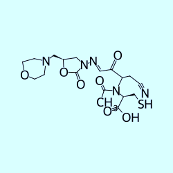 CC(=O)N(C(CC#N)C(=O)C=NN1C[C@H](CN2CCOCC2)OC1=O)[C@@H](CS)C(=O)O